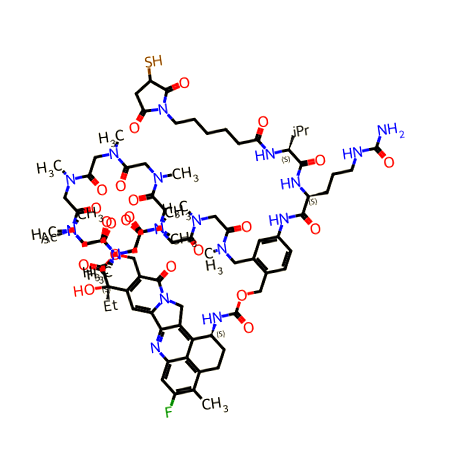 CC[C@@]1(O)C(=O)OCc2c1cc1n(c2=O)Cc2c-1nc1cc(F)c(C)c3c1c2[C@@H](NC(=O)OCc1ccc(NC(=O)[C@H](CCCNC(N)=O)NC(=O)[C@@H](NC(=O)CCCCCN2C(=O)CC(S)C2=O)C(C)C)cc1CN(C)C(=O)CN(C)C(=O)CN(C)C(=O)CN(C)C(=O)CN(C)C(=O)CN(C)C(=O)CN(C)C(=O)CN(C)C(=O)CN(C)C(=O)CN(C)C(=O)CN(C)C(C)=O)CC3